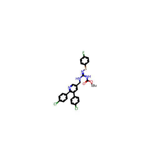 CC(C)(C)OC(=O)N/C(=N\Sc1ccc(F)cc1)NCc1cnc(-c2ccc(Cl)cc2)c(-c2ccc(Cl)cc2)c1